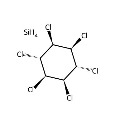 Cl[C@H]1[C@H](Cl)[C@@H](Cl)[C@@H](Cl)[C@H](Cl)[C@H]1Cl.[SiH4]